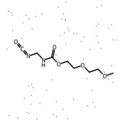 COCCOCCOC(=O)NCN=C=O